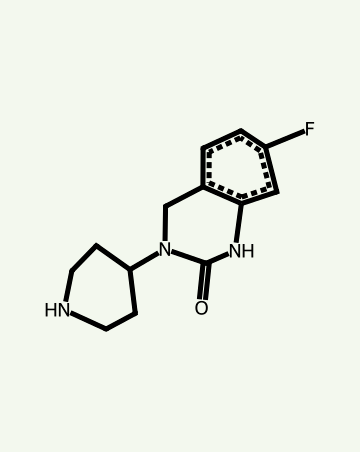 O=C1Nc2cc(F)ccc2CN1C1CCNCC1